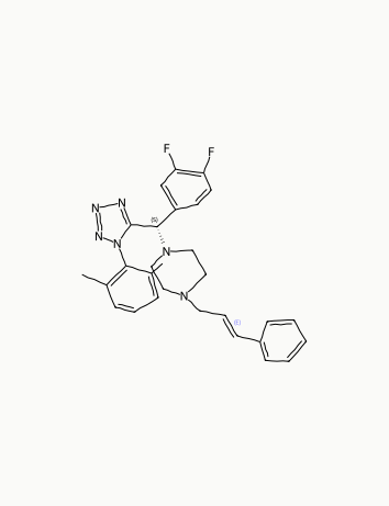 Cc1cccc(C)c1-n1nnnc1[C@H](c1ccc(F)c(F)c1)N1CCN(C/C=C/c2ccccc2)CC1